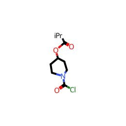 CC(C)C(=O)OC1CCN(C(=O)Cl)CC1